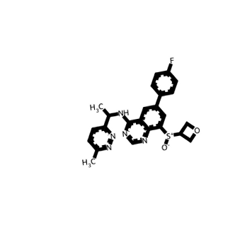 Cc1ccc(C(C)Nc2ncnc3c([S+]([O-])C4COC4)cc(-c4ccc(F)cc4)cc23)nn1